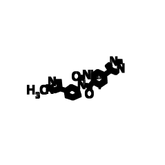 Cn1cc(-c2cccc(N(C(N)=O)C(=O)c3[c]cc(-c4cncnc4)cc3)c2)cn1